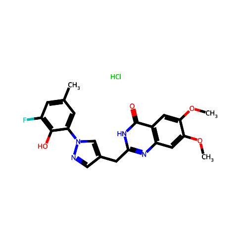 COc1cc2nc(Cc3cnn(-c4cc(C)cc(F)c4O)c3)[nH]c(=O)c2cc1OC.Cl